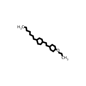 CCCCCCCC1CCC(CCC2CCC(OCCC)CC2)CC1